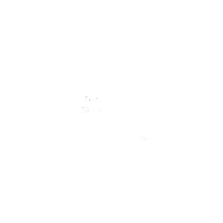 [2H]c1c(COCC[Si](C)(C)C)c(C(=O)O)nn1Br